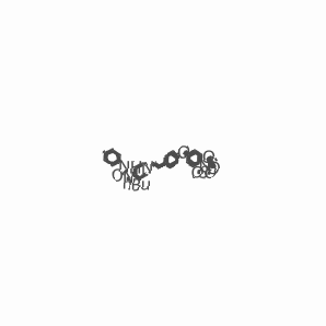 CCCCN(C(=O)NC1CCCCC1)C1CCN(CCc2ccc(Oc3ccc(N(S(C)(=O)=O)S(C)(=O)=O)cc3)cc2)CC1